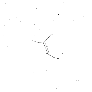 [CH2]/C(C)=[C]\C